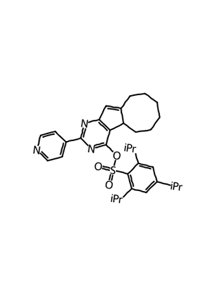 CC(C)c1cc(C(C)C)c(S(=O)(=O)Oc2nc(-c3ccncc3)nc3c2C2CCCCCCC2=C3)c(C(C)C)c1